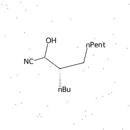 CCCCCC[C@H](CCCC)C(O)C#N